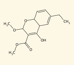 CCC1=CC2C(O)=C(C(=O)OC)C(OC)OC2C=C1